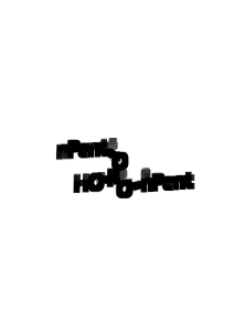 CCCCCOP(O)OCCCCC